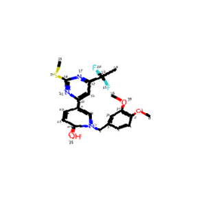 COc1ccc(CN2C=C(c3cc(C(C)(F)F)nc(SC)n3)C=CC2O)cc1OC